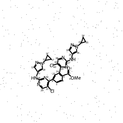 COC(=O)c1ccc(-c2nc(Nc3cnn(C4CC4)c3)ncc2Cl)cc1-c1nc(Nc2cnn(C3CC3)c2)ncc1Cl